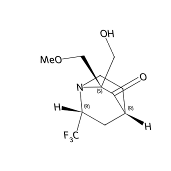 COC[C@@]1(CO)C(=O)[C@@H]2CCN1[C@@H](C(F)(F)F)C2